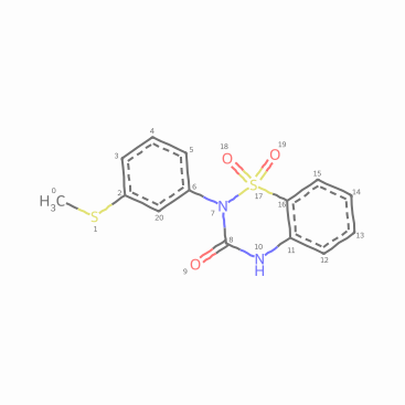 CSc1cccc(N2C(=O)Nc3ccccc3S2(=O)=O)c1